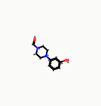 O=CN1CCN(c2cccc(O)c2)CC1